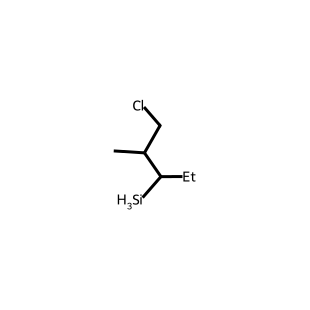 CCC([SiH3])C(C)CCl